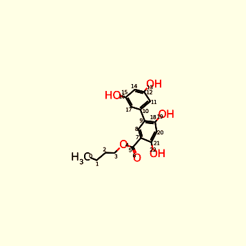 CCCCOC(=O)c1cc(-c2cc(O)cc(O)c2)c(O)cc1O